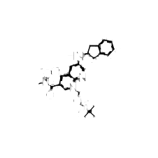 CON(C)C(=O)c1cn(CO[Si](C)(C)C(C)(C)C)c2ncc(NC3Cc4ccccc4C3)cc2c1=O